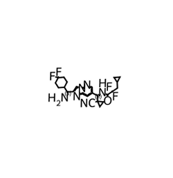 N#CC1([C@H](NC(=O)C(F)(F)CC2CC2)c2cnn3cc([C@@H](N)C4CCC(F)(F)CC4)nc3c2)CC1